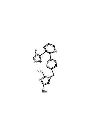 CCCCc1nc(C(C)(C)C)nn1Cc1ccc(-c2ncccc2-c2nnn[nH]2)cc1